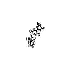 O=C(Cn1nc(C(F)F)c(-c2cc(F)cc(F)c2)cc1=O)Nc1ncc(F)cn1